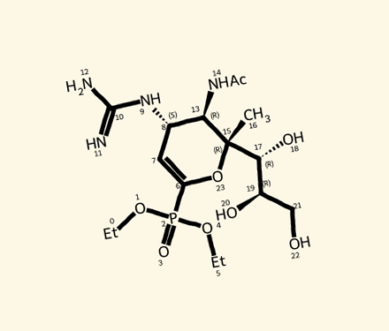 CCOP(=O)(OCC)C1=C[C@H](NC(=N)N)[C@@H](NC(C)=O)[C@](C)([C@H](O)[C@H](O)CO)O1